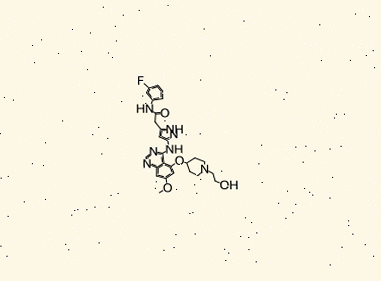 COc1cc(OC2CCN(CCO)CC2)c2c(Nc3cc(CC(=O)Nc4cccc(F)c4)[nH]n3)ncnc2c1